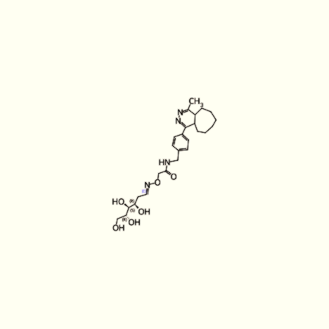 CC1=NN=C(c2ccc(CNC(=O)CO/N=C/C[C@@H](O)[C@H](O)[C@H](O)CO)cc2)C2CCCCCCC12